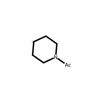 CC(=O)N1CC[C]CC1